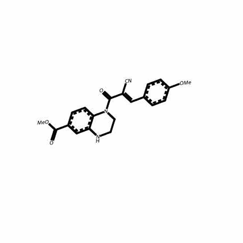 COC(=O)c1ccc2c(c1)NCCN2C(=O)C(C#N)=Cc1ccc(OC)cc1